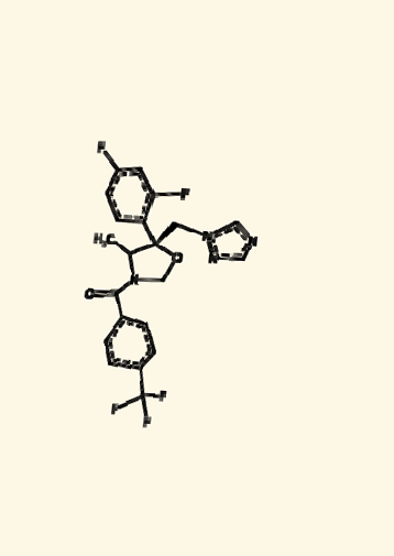 CC1N(C(=O)c2ccc(C(F)(F)F)cc2)CO[C@@]1(Cn1cncn1)c1ccc(F)cc1F